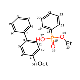 CCCCCCCCc1ccc(-c2ccccc2)cc1.CCOP(=O)(O)c1ccccc1